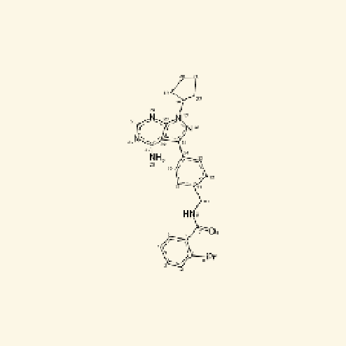 CC(C)c1ccccc1C(=O)NCc1ccc(-c2nn(C3CCCC3)c3ncnc(N)c23)cc1